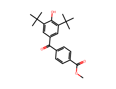 COC(=O)c1ccc(C(=O)c2cc(C(C)(C)C)c(O)c(C(C)(C)C)c2)cc1